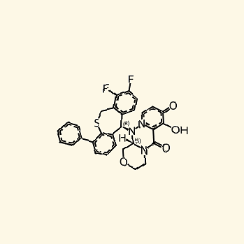 O=C1c2c(O)c(=O)ccn2N([C@@H]2c3ccc(F)c(F)c3CSc3c(-c4ccccc4)cccc32)[C@H]2COCCN12